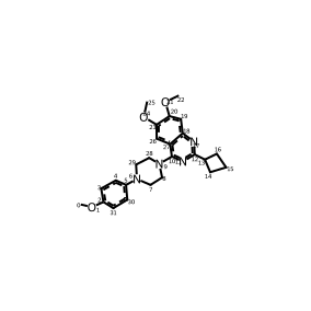 COc1ccc(N2CCN(c3nc(C4CCC4)nc4cc(OC)c(OC)cc34)CC2)cc1